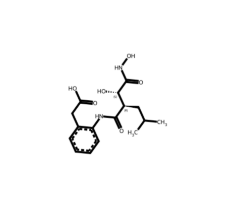 CC(C)C[C@@H](C(=O)Nc1ccccc1CC(=O)O)[C@H](O)C(=O)NO